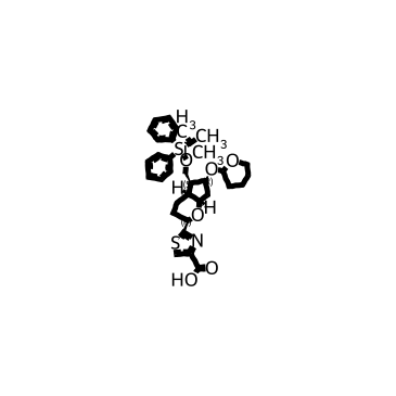 CC(C)(C)[Si](OC[C@@H]1[C@H]2CC[C@H](c3nc(C(=O)O)cs3)O[C@H]2C[C@H]1OC1CCCCO1)(c1ccccc1)c1ccccc1